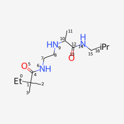 CCC(C)(C)C(=O)NCCNC(C)C(=O)NCC(C)C